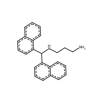 NCCCNC(c1cccc2ccccc12)c1cccc2ccccc12